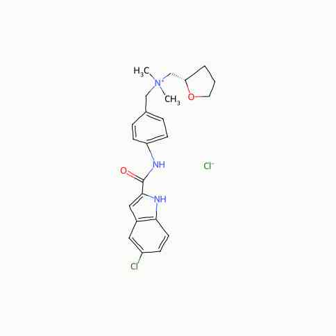 C[N+](C)(Cc1ccc(NC(=O)c2cc3cc(Cl)ccc3[nH]2)cc1)C[C@@H]1CCCO1.[Cl-]